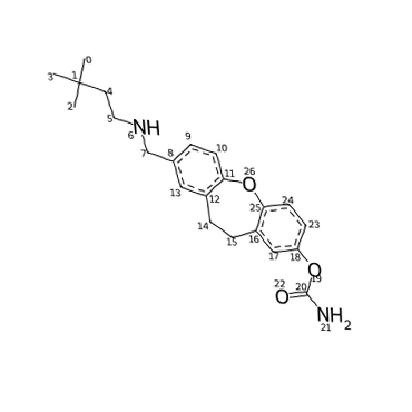 CC(C)(C)CCNCc1ccc2c(c1)CCc1cc(OC(N)=O)ccc1O2